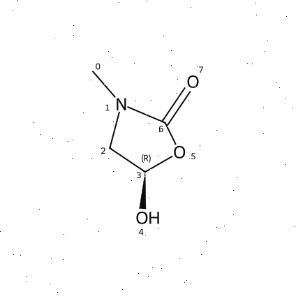 CN1C[C@H](O)OC1=O